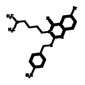 CN(C)CCCCn1c(SCc2ccc([N+](=O)[O-])cc2)nc2ccc(Br)cc2c1=O